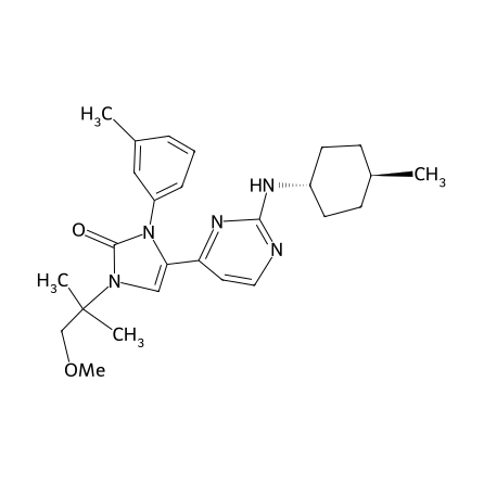 COCC(C)(C)n1cc(-c2ccnc(N[C@H]3CC[C@H](C)CC3)n2)n(-c2cccc(C)c2)c1=O